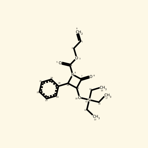 C=CCOC(=O)N1C(=O)C(O[Si](CC)(CC)CC)C1c1ccccc1